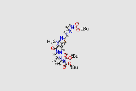 Cn1c2nc(/C=C/c3ccn(C(=O)OC(C)(C)C)n3)sc2c2cnn(Cc3cccc(N(C(=O)OC(C)(C)C)C(=O)OC(C)(C)C)n3)c(=O)c21